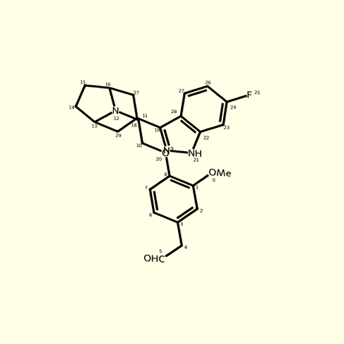 COc1cc(CC=O)ccc1OCCN1C2CCC1CC(c1n[nH]c3cc(F)ccc13)C2